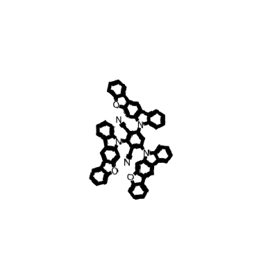 N#Cc1c(-n2c3ccccc3c3cc4c(cc32)oc2ccccc24)cc(-n2c3ccccc3c3cc4c(cc32)oc2ccccc24)c(C#N)c1-n1c2ccccc2c2cc3c(cc21)oc1ccccc13